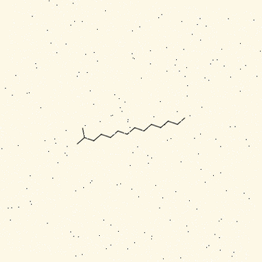 CCCCCCCCCCCCC(C)C